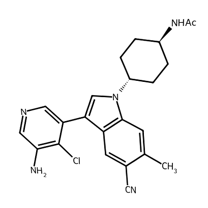 CC(=O)N[C@H]1CC[C@H](n2cc(-c3cncc(N)c3Cl)c3cc(C#N)c(C)cc32)CC1